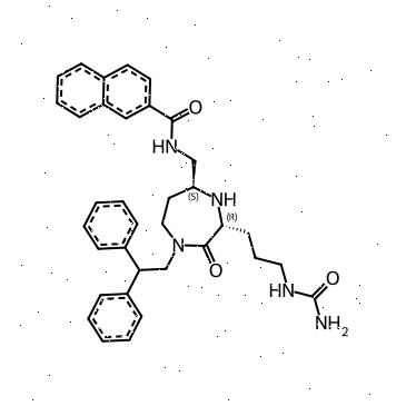 NC(=O)NCCC[C@H]1N[C@H](CNC(=O)c2ccc3ccccc3c2)CCN(CC(c2ccccc2)c2ccccc2)C1=O